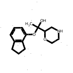 CC(O)(Oc1cccc2c1CCC2)C1CNCCO1